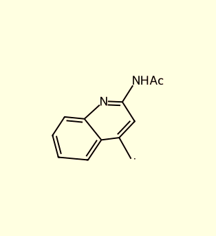 [CH2]c1cc(NC(C)=O)nc2ccccc12